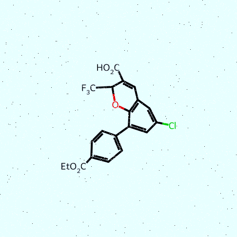 CCOC(=O)c1ccc(-c2cc(Cl)cc3c2OC(C(F)(F)F)C(C(=O)O)=C3)cc1